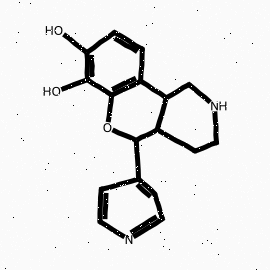 Oc1ccc2c(c1O)OC(c1ccncc1)C1CCNCC21